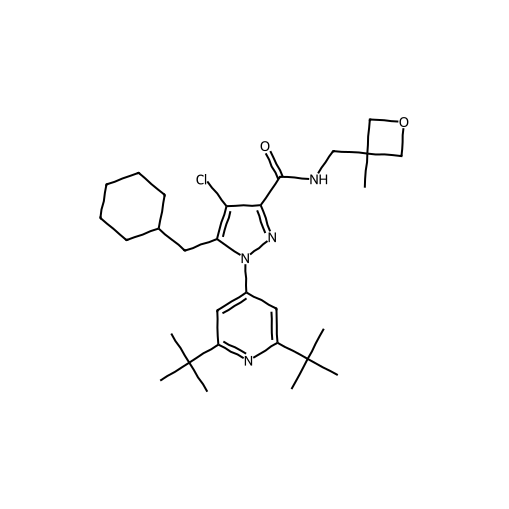 CC1(CNC(=O)c2nn(-c3cc(C(C)(C)C)nc(C(C)(C)C)c3)c(CC3CCCCC3)c2Cl)COC1